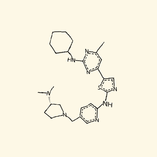 Cc1cc(-c2cnc(Nc3ccc(CN4CC[C@H](N(C)C)C4)cn3)s2)nc(NC2CCCCC2)n1